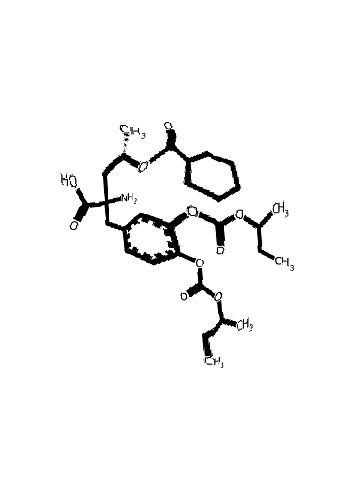 CCC(C)OC(=O)Oc1ccc(CC(N)(C[C@H](C)OC(=O)C2CCCCC2)C(=O)O)cc1OC(=O)OC(C)CC